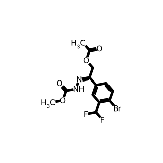 COC(=O)N/N=C(/COC(C)=O)c1ccc(Br)c(C(F)F)c1